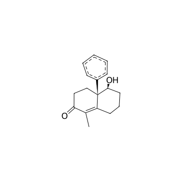 CC1=C2CCC[C@H](O)[C@@]2(c2ccccc2)CCC1=O